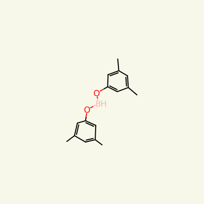 Cc1cc(C)cc(OBOc2cc(C)cc(C)c2)c1